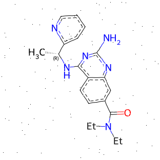 CCN(CC)C(=O)c1ccc2c(N[C@H](C)c3ccccn3)nc(N)nc2c1